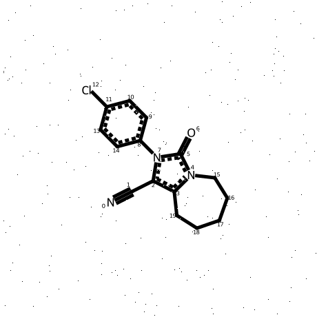 N#Cc1c2n(c(=O)n1-c1ccc(Cl)cc1)CCCCC2